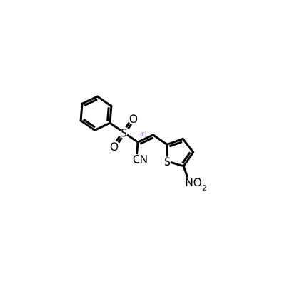 N#C/C(=C\c1ccc([N+](=O)[O-])s1)S(=O)(=O)c1ccccc1